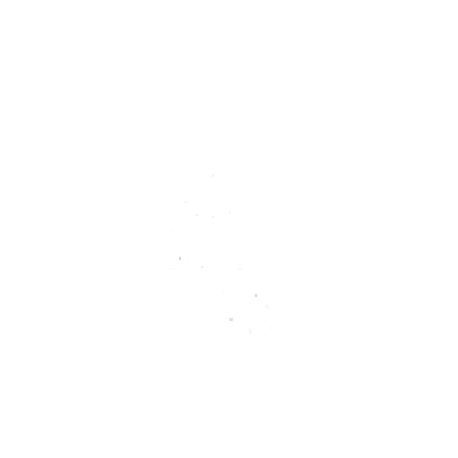 O=C(CCC(COS(=O)(=O)O)OS(=O)(=O)O)NC[C@H]1O[C@H](OCc2ccccc2)[CH][C@@H](OS(=O)(=O)O)[C@@H]1OS(=O)(=O)O